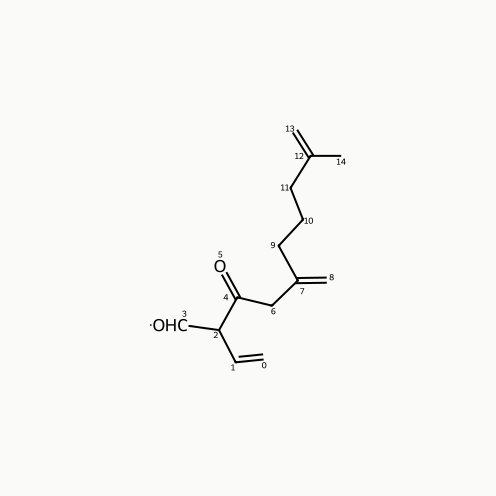 C=CC([C]=O)C(=O)CC(=C)CCCC(=C)C